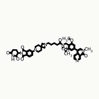 COc1cc(-c2cn(C)c(=O)c3cnccc23)cc(OC)c1CN(C)C(=O)CCCCN1CC2(CCN(c3ccc4c(c3)C(=O)N(C3CCC(=O)NC3=O)C4=O)CC2)C1